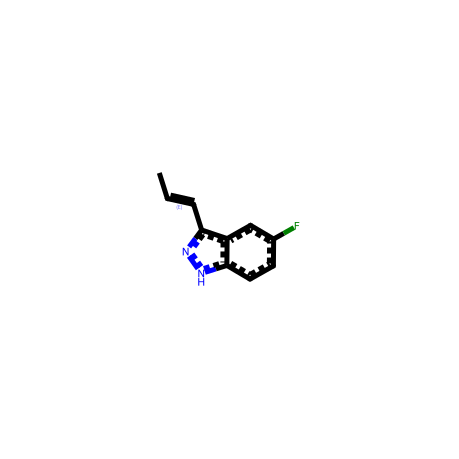 C/C=C/c1n[nH]c2ccc(F)cc12